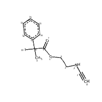 C#CNCCOC(=O)C(C)(I)c1ccccc1